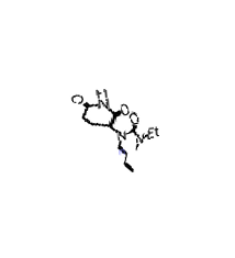 C=C/C=C/N(C(=O)N(C)CC)C1CCC(=O)NC1=O